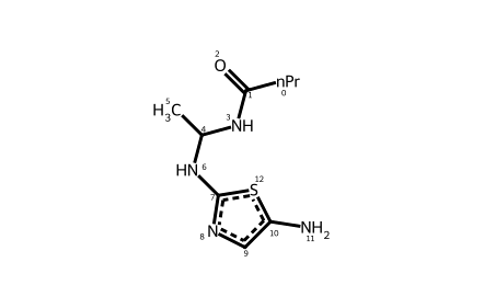 CCCC(=O)NC(C)Nc1ncc(N)s1